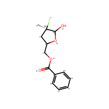 C[C@@]1(F)CC(COC(=O)c2ccccc2)OC1O